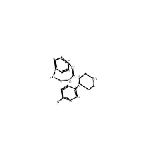 Fc1ccc([C@@H]2CCNC[C@H]2C2OCOc3ccc(cc3)O2)cc1